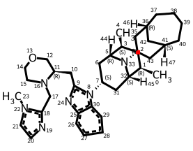 C[C@@H]1C[C@H](C)[C@H]2C[C@@H](n3c(C[C@@H]4COCCN4Cc4nccn4C)nc4ccccc43)C[C@@H]1N2[C@@H]1C[C@@H]2CCCC[C@@H](C2)C1